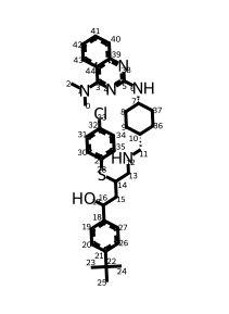 CN(C)c1nc(N[C@H]2CC[C@@H](CNCC(CC(O)c3ccc(C(C)(C)C)cc3)Sc3ccc(Cl)cc3)CC2)nc2ccccc12